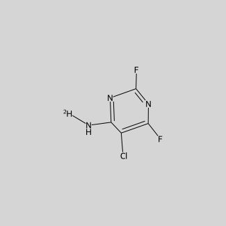 [2H]Nc1nc(F)nc(F)c1Cl